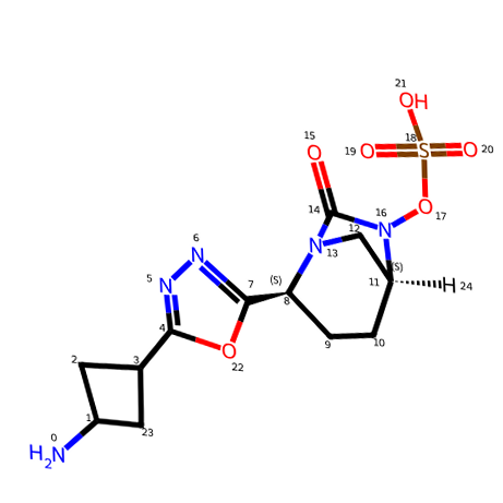 NC1CC(c2nnc([C@@H]3CC[C@H]4CN3C(=O)N4OS(=O)(=O)O)o2)C1